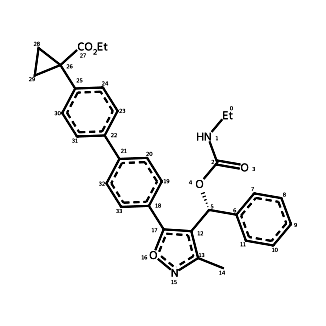 CCNC(=O)O[C@H](c1ccccc1)c1c(C)noc1-c1ccc(-c2ccc(C3(C(=O)OCC)CC3)cc2)cc1